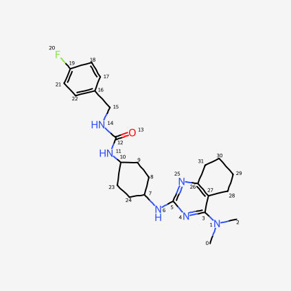 CN(C)c1nc(NC2CCC(NC(=O)NCc3ccc(F)cc3)CC2)nc2c1CCCC2